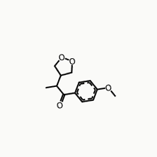 COc1ccc(C(=O)C(C)C2COOC2)cc1